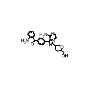 Nc1ccccc1C(=O)c1ccc(-c2nc(C3CCC(CO)OC3)n3ccnc(N)c23)cc1